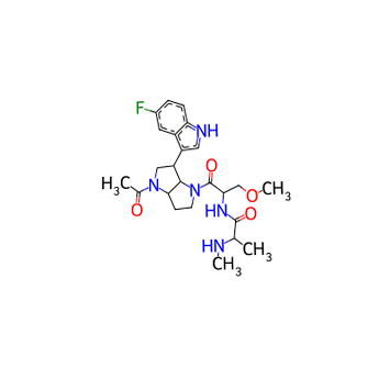 CNC(C)C(=O)NC(COC)C(=O)N1CCC2C1C(c1c[nH]c3ccc(F)cc13)CN2C(C)=O